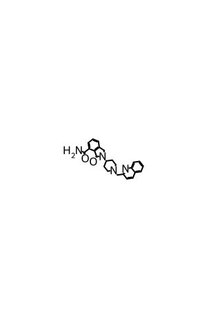 NC(=O)c1cccc2c1C(=O)N(C1CCN(Cc3ccc4ccccc4n3)CC1)C2